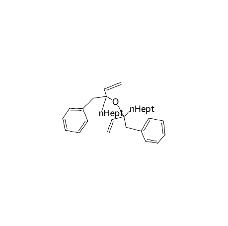 C=CC(CCCCCCC)(Cc1ccccc1)OC(C=C)(CCCCCCC)Cc1ccccc1